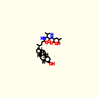 CC(C)CC(NC(=O)C(NC(=O)CCC(C)[C@H]1CC[C@H]2[C@@H]3CC[C@@H]4C[C@H](O)CC[C@]4(C)[C@H]3CC[C@]12C)C(C)C)C(=O)O